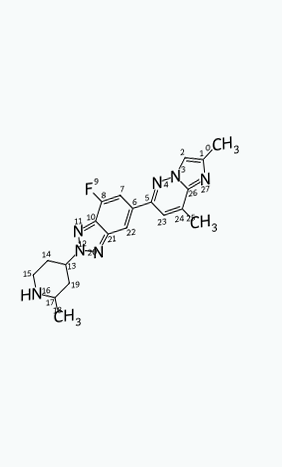 Cc1cn2nc(-c3cc(F)c4nn(C5CCNC(C)C5)nc4c3)cc(C)c2n1